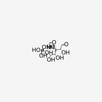 NC=O.O=CC(O)C(O)C(O)CO.O=P(O)(O)O